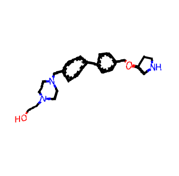 OCCN1CCN(Cc2ccc(-c3ccc(COC4CCNC4)cc3)cc2)CC1